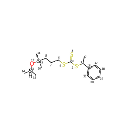 CC(SC(=S)SCCC[Si](C)(C)O[SiH](C)C)c1ccccc1